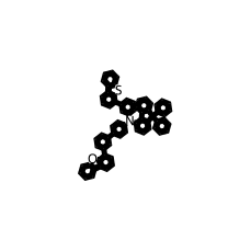 c1ccc(C2(c3ccccc3)c3ccccc3-c3c(N(c4ccc(-c5cccc(-c6cccc7c6oc6ccccc67)c5)cc4)c4cccc(-c5cccc6c5sc5ccccc56)c4)cccc32)cc1